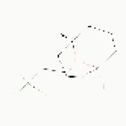 FC(F)(F)CCB1[C@H]2CCC[C@H]1CCC2